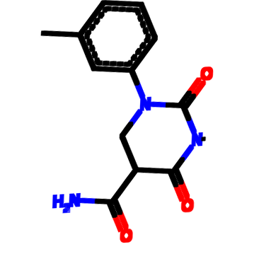 Cc1cccc(N2CC(C(N)=O)C(=O)[N]C2=O)c1